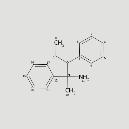 CCC(c1ccccc1)C(C)(N)c1c[c]ccc1